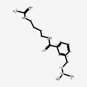 N=C(N)NCCCCNC(=O)c1cccc(CON(O)O)c1